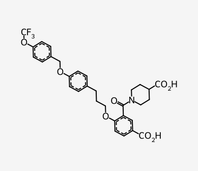 O=C(O)c1ccc(OCCCc2ccc(OCc3ccc(OC(F)(F)F)cc3)cc2)c(C(=O)N2CCC(C(=O)O)CC2)c1